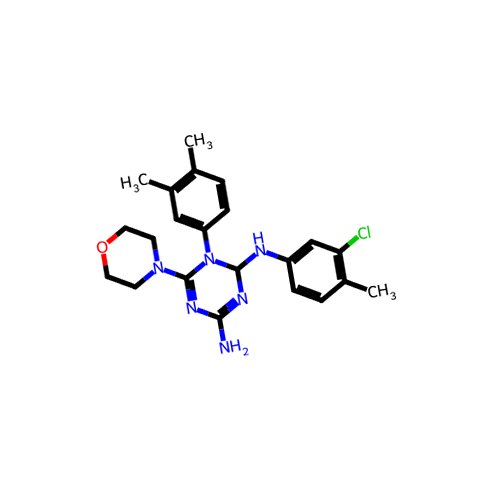 Cc1ccc(N2C(N3CCOCC3)=NC(N)=NC2Nc2ccc(C)c(Cl)c2)cc1C